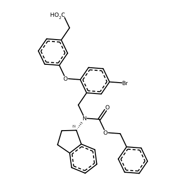 O=C(O)Cc1cccc(Oc2ccc(Br)cc2CN(C(=O)OCc2ccccc2)[C@H]2CCc3ccccc32)c1